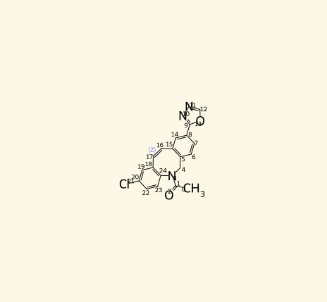 CC(=O)N1Cc2ccc(-c3nnco3)cc2/C=C\c2cc(Cl)ccc21